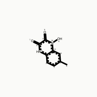 Cc1ccc2[nH]c(=O)c(=O)n(O)c2c1